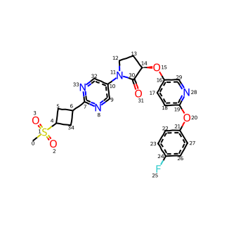 CS(=O)(=O)C1CC(c2ncc(N3CC[C@@H](Oc4ccc(Oc5ccc(F)cc5)nc4)C3=O)cn2)C1